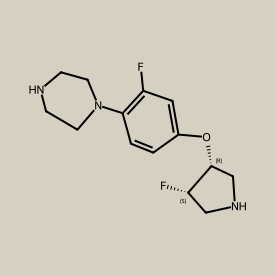 Fc1cc(O[C@@H]2CNC[C@@H]2F)ccc1N1CCNCC1